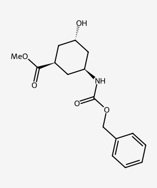 COC(=O)[C@H]1C[C@H](O)C[C@@H](NC(=O)OCc2ccccc2)C1